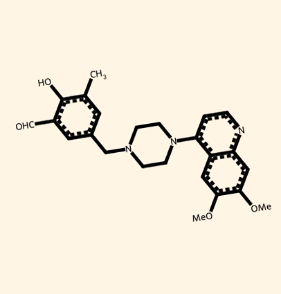 COc1cc2nccc(N3CCN(Cc4cc(C)c(O)c(C=O)c4)CC3)c2cc1OC